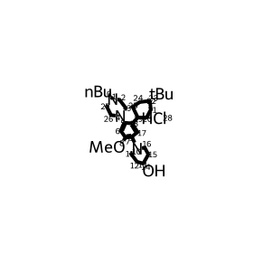 CCCCN1CCN(c2cc(OC)c(N3CCC(O)CC3)cc2C2CCC(C(C)(C)C)CC2)CC1.Cl